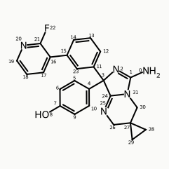 NC1=NC(c2ccc(O)cc2)(c2cccc(-c3cccnc3F)c2)C2=NCC3(CC3)CN12